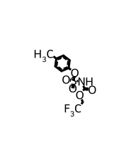 Cc1ccc(OS(=O)(=O)NC(=O)OCC(F)(F)F)cc1